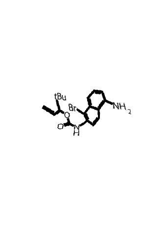 C=CC(OC(=O)Nc1ccc2c(N)cccc2c1Br)C(C)(C)C